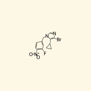 O=[N+]([O-])c1ccc(Cn2cnc(Br)c2C2CC2)cc1F